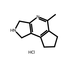 Cc1nc2c(c3c1CCC3)CNC2.Cl